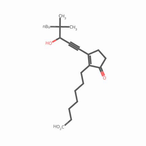 CCCCC(C)(C)C(O)C#CC1=C(CCCCCCC(=O)O)C(=O)CC1